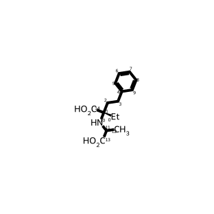 CC[C@@](CCc1ccccc1)(NC(C)C(=O)O)C(=O)O